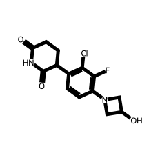 O=C1CCC(c2ccc(N3CC(O)C3)c(F)c2Cl)C(=O)N1